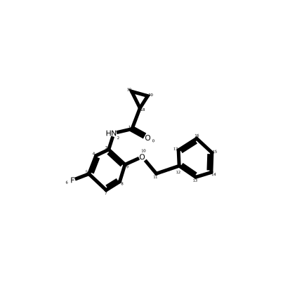 O=C(Nc1cc(F)ccc1OCc1ccccc1)C1CC1